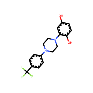 Oc1ccc(O)c(N2CCN(c3ccc(C(F)(F)F)cc3)CC2)c1